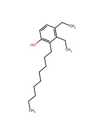 CCCCCCCCCc1c(O)ccc(CC)c1CC